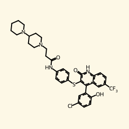 O=C(CCN1CCC(N2CCCCC2)CC1)Nc1ccc(Sc2c(-c3cc(Cl)ccc3O)c3cc(C(F)(F)F)ccc3[nH]c2=O)cc1